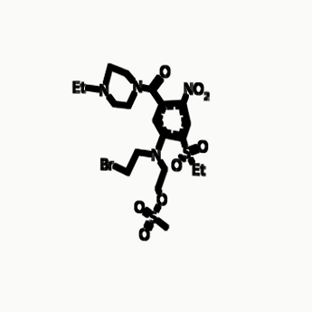 CCN1CCN(C(=O)c2cc(N(CCBr)CCOS(C)(=O)=O)c(S(=O)(=O)CC)cc2[N+](=O)[O-])CC1